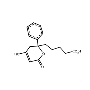 O=C(O)CCCCC1(c2ccccc2)CC(O)=CC(=O)O1